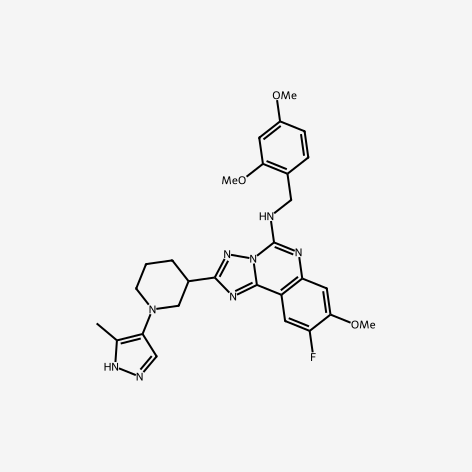 COc1ccc(CNc2nc3cc(OC)c(F)cc3c3nc(C4CCCN(c5cn[nH]c5C)C4)nn23)c(OC)c1